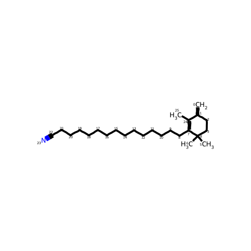 C=C1CCC(C)(C)C(CCCCCCCCCCCCCCC#N)=C1C